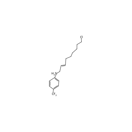 FC(F)(F)c1ccc([SiH2]CC=CCCCCCCCl)cc1